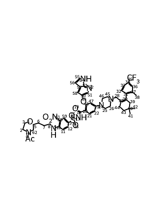 CC(=O)N1CCOC(CCCNc2ccc(S(=O)(=O)NC(=O)c3ccc(N4CCN(CC5=C(c6ccc(C(F)(F)F)cc6C)CC(C)(C)CC5)CC4)cc3Oc3cnc4[nH]ccc4c3)cc2[N+](=O)[O-])C1